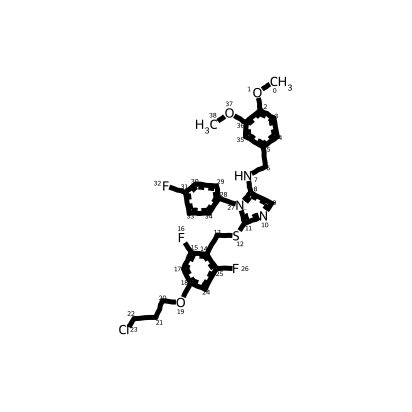 COc1ccc(CNc2cnc(SCc3c(F)cc(OCCCCl)cc3F)n2-c2ccc(F)cc2)cc1OC